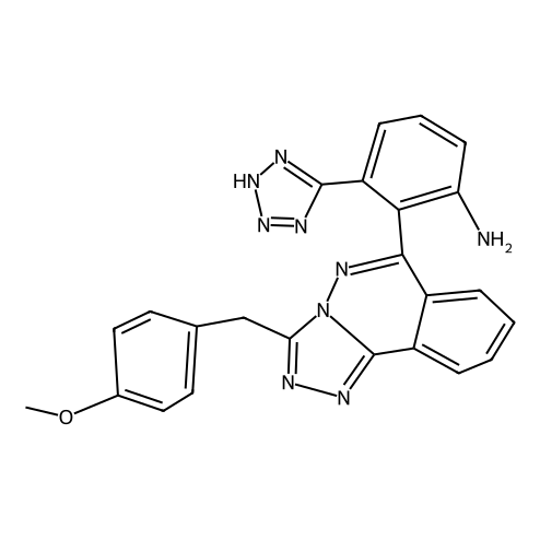 COc1ccc(Cc2nnc3c4ccccc4c(-c4c(N)cccc4-c4nn[nH]n4)nn23)cc1